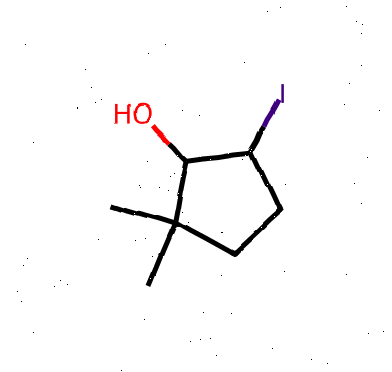 CC1(C)CCC(I)C1O